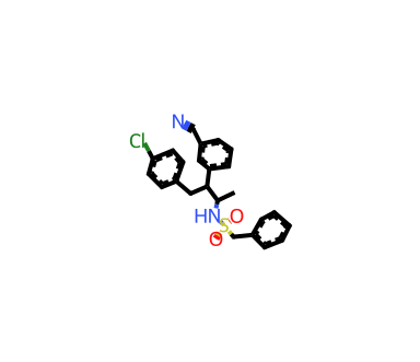 CC(NS(=O)(=O)Cc1ccccc1)C(Cc1ccc(Cl)cc1)c1cccc(C#N)c1